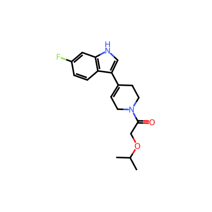 CC(C)OCC(=O)N1CC=C(c2c[nH]c3cc(F)ccc23)CC1